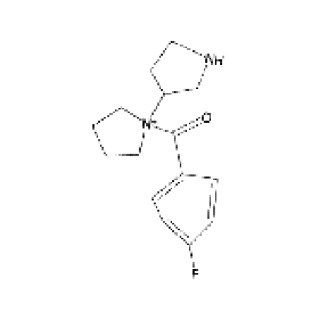 O=C(c1ccc(F)cc1)[N+]1(C2CCNC2)CCCC1